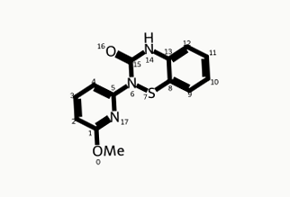 COc1cccc(N2Sc3ccccc3NC2=O)n1